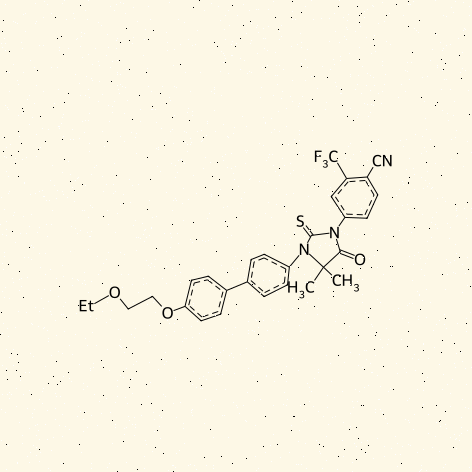 [CH2]COCCOc1ccc(-c2ccc(N3C(=S)N(c4ccc(C#N)c(C(F)(F)F)c4)C(=O)C3(C)C)cc2)cc1